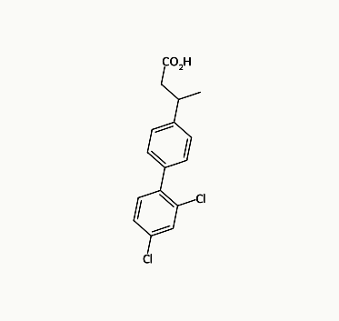 CC(CC(=O)O)c1ccc(-c2ccc(Cl)cc2Cl)cc1